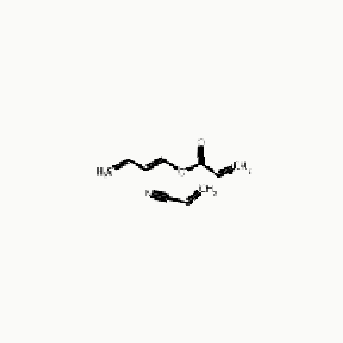 C=CC#N.C=CC=COC(=O)C=C